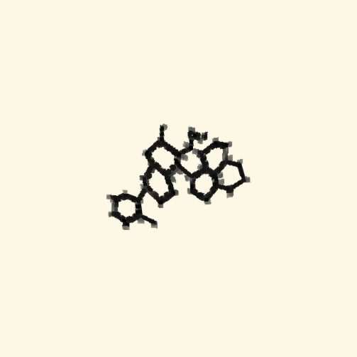 Cc1cc2cc(-c3cncnc3C)ccc2c(-c2ccc3c4c(ccnc24)CCO3)c1CC(=O)O